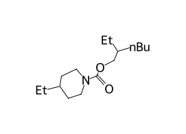 CCCCC(CC)COC(=O)N1CCC(CC)CC1